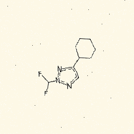 FC(F)n1ncc(C2CCCCC2)n1